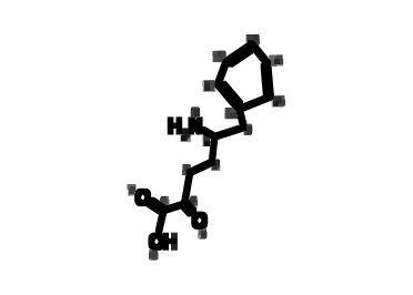 NC(CCC(=O)C(=O)O)Cc1ccccc1